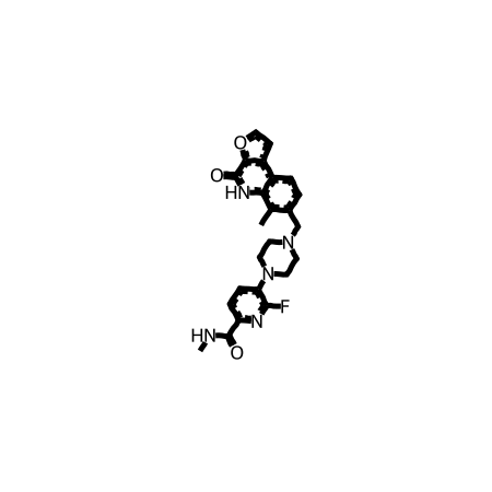 CNC(=O)c1ccc(N2CCN(Cc3ccc4c([nH]c(=O)c5occc54)c3C)CC2)c(F)n1